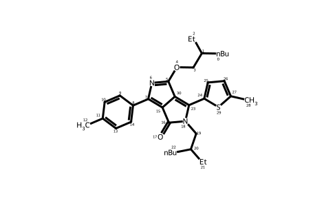 CCCCC(CC)COC1=NC(c2ccc(C)cc2)=C2C(=O)N(CC(CC)CCCC)C(c3ccc(C)s3)=C12